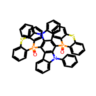 O=P1(c2c3c4ccccc4n(-c4ccccc4)c3c(P3(=O)c4ccccc4Sc4ccccc43)c3c4ccccc4n(-c4ccccc4)c23)c2ccccc2Sc2ccccc21